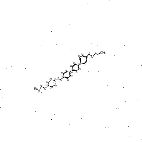 CCCOCc1ccc(-c2ccc(-c3ccc(CC[C@H]4CC[C@H](CCCF)CC4)cc3)cc2)cc1